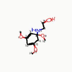 COC1=CC(NCCO)(OC)CC(OC)=C1